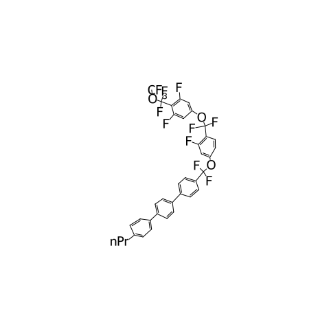 CCCc1ccc(-c2ccc(-c3ccc(C(F)(F)Oc4ccc(C(F)(F)Oc5cc(F)c(C(F)(F)OC(F)(F)F)c(F)c5)c(F)c4)cc3)cc2)cc1